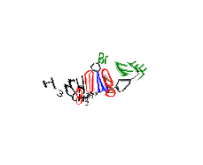 CC(C)(C)OC(=O)[C@@H]1C[C@H]1[C@H]1CN(S(=O)(=O)c2cccc(C(F)(F)F)c2)c2cc(Br)ccc2O1